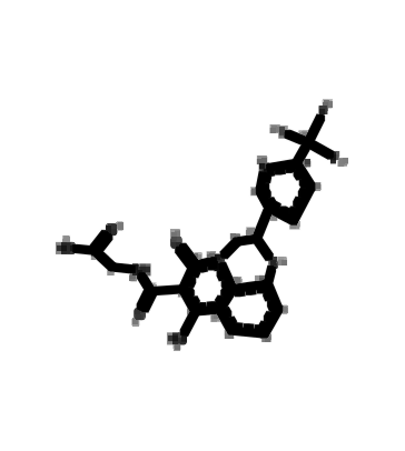 O=C(O)CNC(=O)c1c(O)c2cccc3c2n(c1=O)CC(c1ccc(C(F)(F)F)nc1)S3